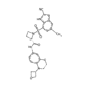 Cc1cc(S(=O)(=O)N2CC[C@H]2C(=O)Nc2ccc3c(c2)OCCN3C2COC2)c2[nH]c(C#N)cc2c1